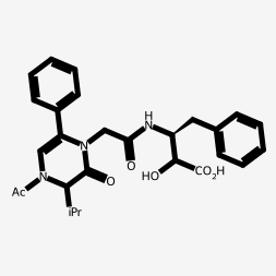 CC(=O)N1C=C(c2ccccc2)N(CC(=O)N[C@@H](Cc2ccccc2)C(O)C(=O)O)C(=O)C1C(C)C